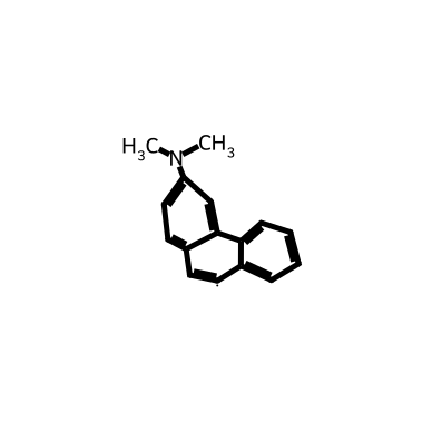 CN(C)c1ccc2c[c]c3ccccc3c2c1